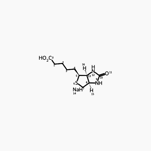 O=C(O)CCCC[C@@H]1SC[C@@H]2NC(=O)N[C@@H]21.[NaH]